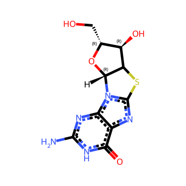 Nc1nc2c(nc3n2[C@@H]2O[C@H](CO)[C@@H](O)C2S3)c(=O)[nH]1